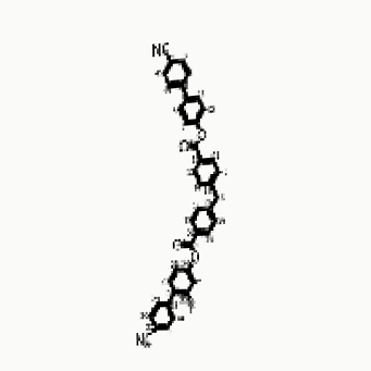 N#Cc1ccc(-c2ccc(OC(=O)c3ccc(Cc4ccc(C(=O)Oc5ccc(-c6ccc(C#N)cc6)c(F)c5)cc4)cc3)cc2)cc1